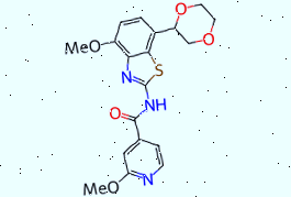 COc1cc(C(=O)Nc2nc3c(OC)ccc(C4COCCO4)c3s2)ccn1